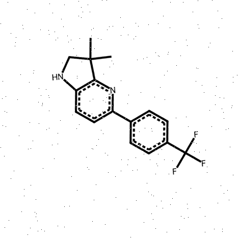 CC1(C)CNc2ccc(-c3ccc(C(F)(F)F)cc3)nc21